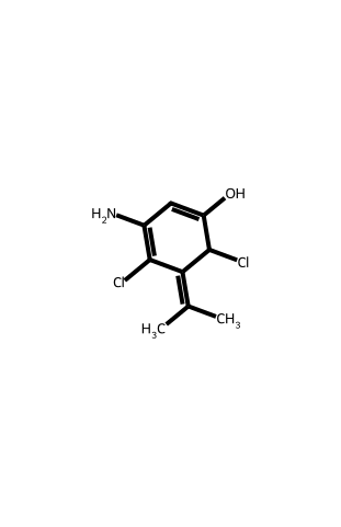 CC(C)=C1C(Cl)=C(N)C=C(O)C1Cl